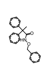 CC(C(=O)NOCc1ccccc1)(c1ccccc1)c1ccccc1